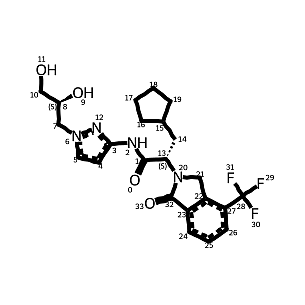 O=C(Nc1ccn(C[C@H](O)CO)n1)[C@H](CC1CCCC1)N1Cc2c(cccc2C(F)(F)F)C1=O